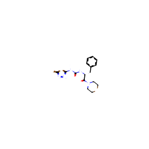 O=C(Nc1n[nH]c(=S)s1)N[C@@H](Cc1ccccc1)C(=O)N1CCSCC1